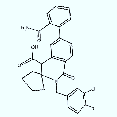 NC(=O)c1ccccc1-c1ccc2c(c1)C(C(=O)O)C1(CCCC1)N(Cc1ccc(Cl)c(Cl)c1)C2=O